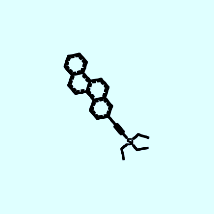 CC[Si](C#Cc1ccc2c(ccc3c4ccccc4ccc23)c1)(CC)CC